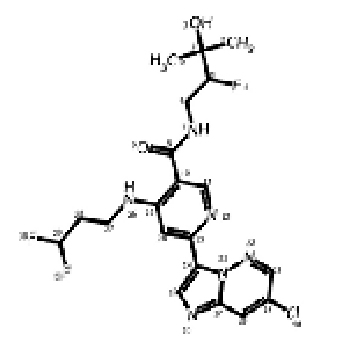 CC(C)(O)C(F)CNC(=O)c1cnc(-c2cnc3cc(Cl)cnn23)cc1NCCC(F)F